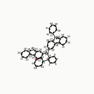 c1ccc(-c2ccccc2N(c2ccc3c(c2)sc2ccccc23)c2ccc3c(c2)c2ccccc2n3-c2ccccc2)cc1